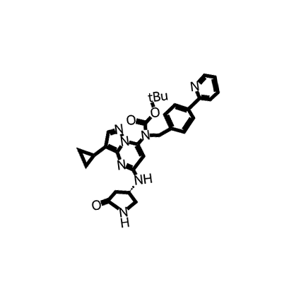 CC(C)(C)OC(=O)N(Cc1ccc(-c2ccccn2)cc1)c1cc(N[C@@H]2CNC(=O)C2)nc2c(C3CC3)cnn12